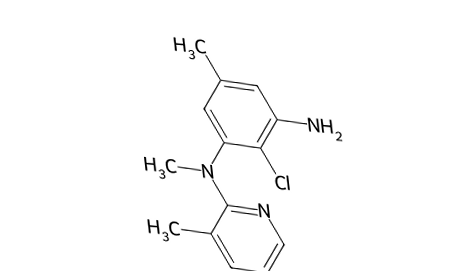 Cc1cc(N)c(Cl)c(N(C)c2ncccc2C)c1